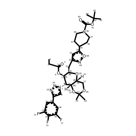 CCC(=O)O[C@@H]1[C@@H](n2cc(-c3cc(F)c(F)c(F)c3)nn2)[C@H]2OC(C)(C)OC[C@H]2O[C@@H]1Cc1cc(C2CCN(C(=O)OC(C)(C)C)CC2)on1